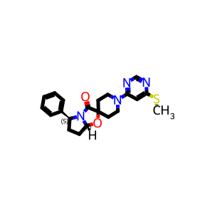 CSc1cc(N2CCC3(CC2)O[C@@H]2CC[C@@H](c4ccccc4)N2C3=O)ncn1